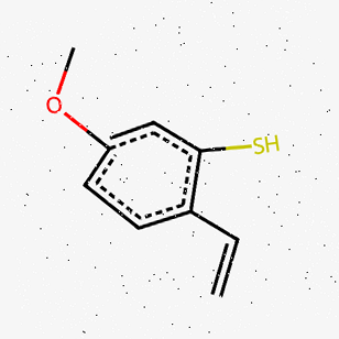 C=Cc1ccc(OC)cc1S